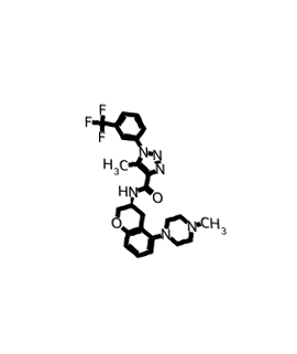 Cc1c(C(=O)N[C@@H]2COc3cccc(N4CCN(C)CC4)c3C2)nnn1-c1cccc(C(F)(F)F)c1